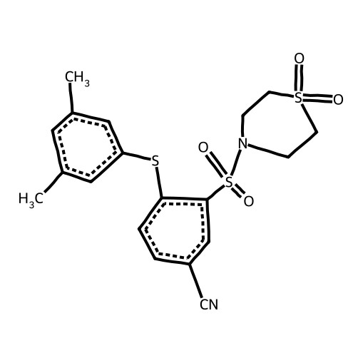 Cc1cc(C)cc(Sc2ccc(C#N)cc2S(=O)(=O)N2CCS(=O)(=O)CC2)c1